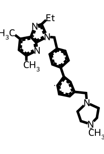 CCc1nc2c(C)cc(C)nc2n1Cc1ccc(-c2[c]ccc(CN3CCN(C)CC3)c2)cc1